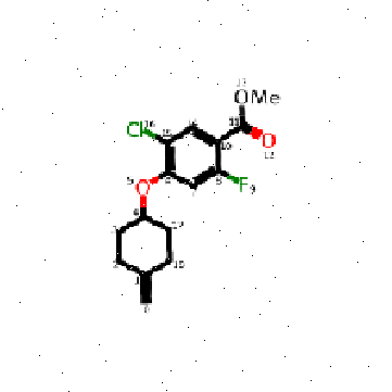 C=C1CCC(Oc2cc(F)c(C(=O)OC)cc2Cl)CC1